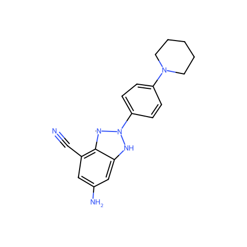 N#Cc1cc(N)cc2c1[N]N(c1ccc(N3CCCCC3)cc1)N2